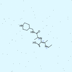 C=C(S)C(/N=C(\C)C(=O)NCC1CCNCC1)=C(C)\N=C/C